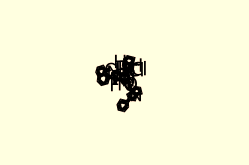 Cl.Cl.Fc1c(-c2cccc3cccc(Cl)c23)ncc2c(N3C[C@H]4CC[C@@H](C3)N4)nc(OCC34CCCN3CC(c3ccccc3)C4)nc12